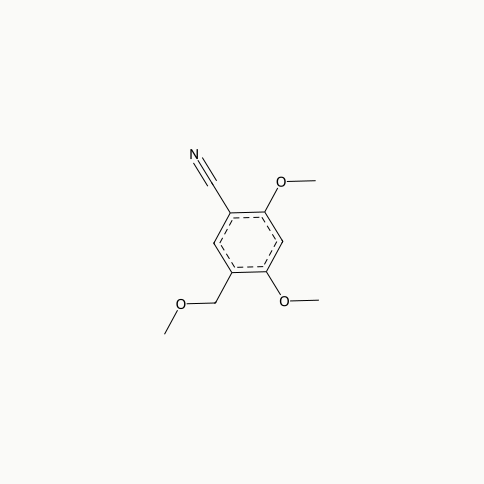 COCc1cc(C#N)c(OC)cc1OC